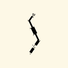 C=C=CC#CCBr